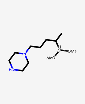 CO[SiH](OC)C(C)CCCN1CCNCC1